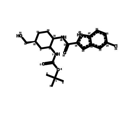 CC(C)(C)OC(=O)NC1C[C@@H](CO)CCC1NC(=O)c1cc2cc(Cl)ccc2[nH]1